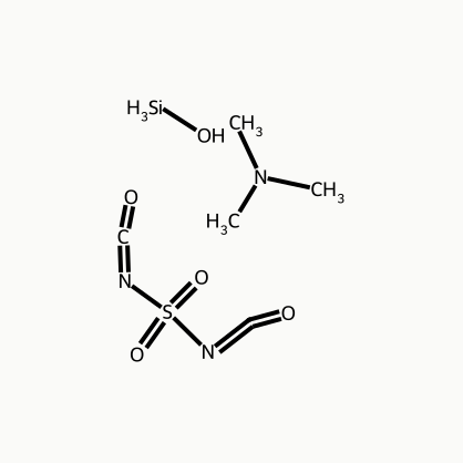 CN(C)C.O=C=NS(=O)(=O)N=C=O.O[SiH3]